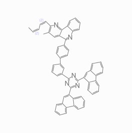 C/C=C\C=C/c1nc2c(cc1C)c(-c1ccc(-c3cccc(-c4nc(-c5cc6ccccc6c6ccccc56)nc(-c5cc6ccccc6c6ccccc56)n4)c3)cc1)nc1ccccc12